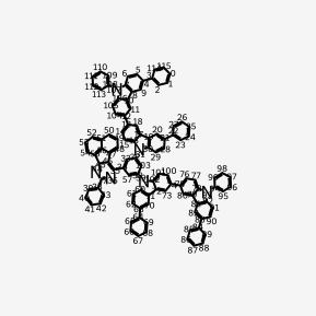 c1ccc(-c2ccc3c(c2)c2cc(-c4ccc5c(c4)c4cc(-c6ccccc6)ccc4n5-c4cc(-c5nc(-c6ccccc6)nc6c5-c5cccc7cccc-6c57)cc(-n5c6ccc(-c7ccccc7)cc6c6cc(-c7ccc8c(c7)c7cc(-c9ccccc9)ccc7n8-c7ccccc7)ccc65)c4)ccc2n3-c2ccccc2)cc1